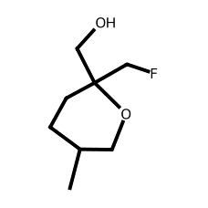 CC1CCC(CO)(CF)OC1